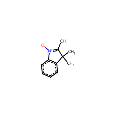 CC1=[N+]([O-])c2ccccc2C1(C)C